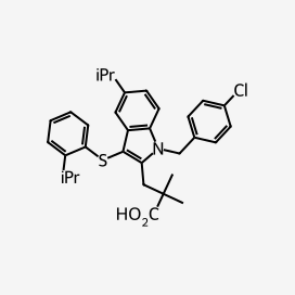 CC(C)c1ccc2c(c1)c(Sc1ccccc1C(C)C)c(CC(C)(C)C(=O)O)n2Cc1ccc(Cl)cc1